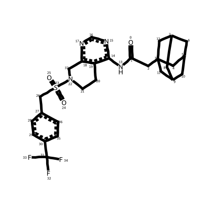 O=C(CC12CC3CC(CC(C3)C1)C2)Nc1ncnc2c1CCN(S(=O)(=O)Cc1ccc(C(F)(F)F)cc1)C2